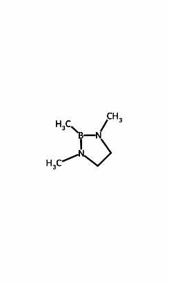 CB1N(C)CCN1C